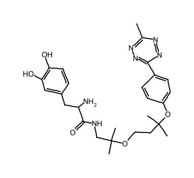 Cc1nnc(-c2ccc(OC(C)(C)CCOC(C)(C)CNC(=O)C(N)Cc3ccc(O)c(O)c3)cc2)nn1